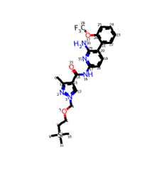 Cc1nn(COCC[Si](C)(C)C)cc1C(=O)Nc1ccc(-c2ccccc2OC(F)(F)F)c(N)n1